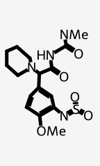 CNC(=O)NC(=O)C(c1ccc(OC)c(N=S(=O)=O)c1)N1CCCCC1